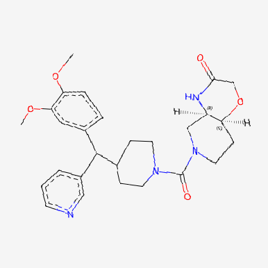 COc1ccc(C(c2cccnc2)C2CCN(C(=O)N3CC[C@@H]4OCC(=O)N[C@@H]4C3)CC2)cc1OC